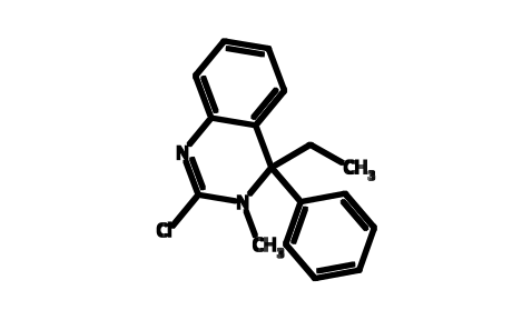 CCC1(c2ccccc2)c2ccccc2N=C(Cl)N1C